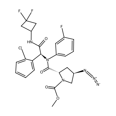 COC(=O)N1C[C@H](N=[N+]=[N-])C[C@H]1C(=O)N(c1cccc(F)c1)[C@H](C(=O)NC1CC(F)(F)C1)c1ccccc1Cl